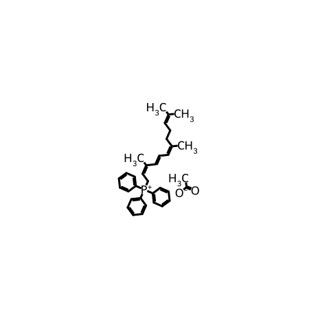 CC(=O)[O-].CC(C)=CCCC(C)=CC=CC(C)=CC[P+](c1ccccc1)(c1ccccc1)c1ccccc1